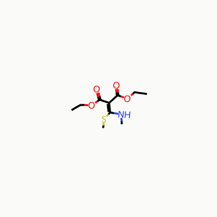 CCOC(=O)C(C(=O)OCC)=C(NC)SC